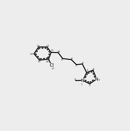 Cn1cncc1CCCCCc1ccccc1Cl